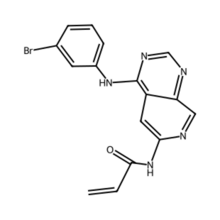 C=CC(=O)Nc1cc2c(Nc3cccc(Br)c3)ncnc2cn1